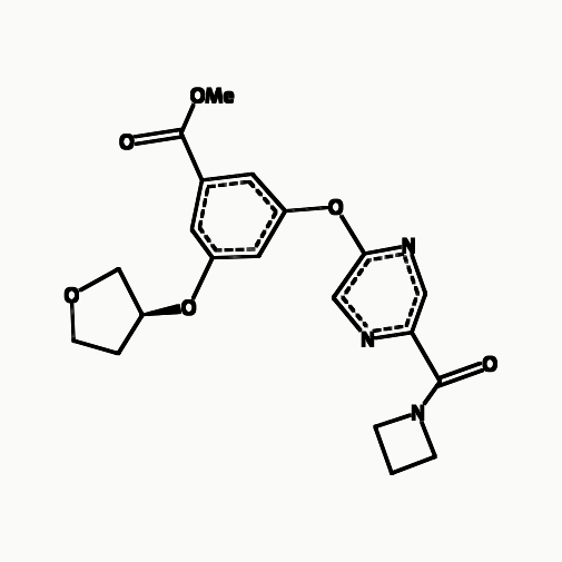 COC(=O)c1cc(Oc2cnc(C(=O)N3CCC3)cn2)cc(O[C@H]2CCOC2)c1